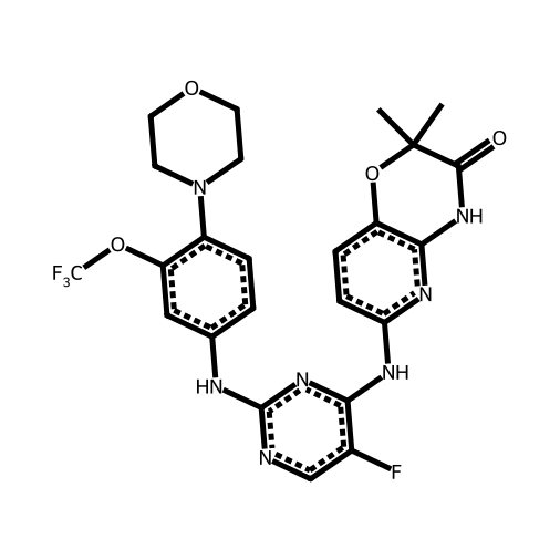 CC1(C)Oc2ccc(Nc3nc(Nc4ccc(N5CCOCC5)c(OC(F)(F)F)c4)ncc3F)nc2NC1=O